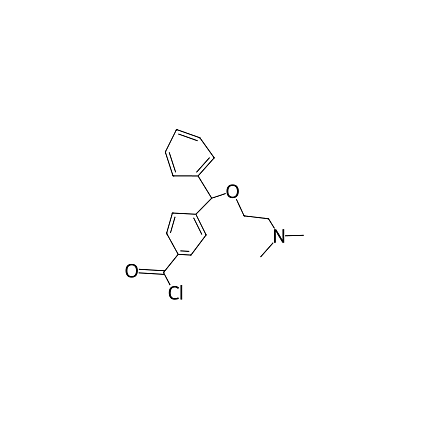 CN(C)CCOC(c1ccccc1)c1ccc(C(=O)Cl)cc1